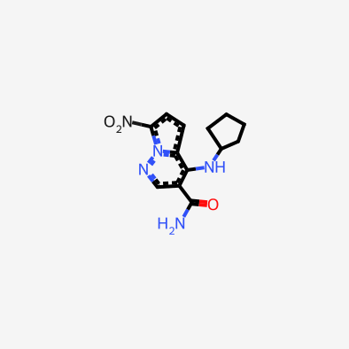 NC(=O)c1cnn2c([N+](=O)[O-])ccc2c1NC1CCCC1